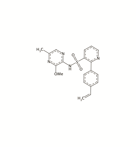 C=Cc1ccc(-c2ncccc2S(=O)(=O)Nc2ncc(C)nc2OC)cc1